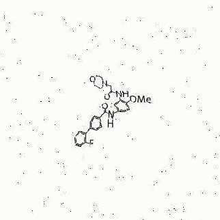 COc1ccc(NC(=O)c2ccc(-c3ccccc3F)cc2)cc1NC(=O)CN1CCOCC1